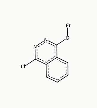 CCOc1nnc(Cl)c2ccccc12